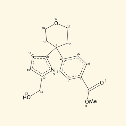 COC(=O)c1ccc(C2(c3nc(CO)cs3)CCOCC2)cc1